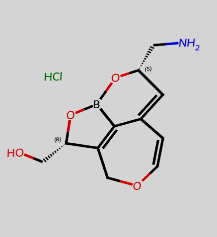 Cl.NC[C@@H]1C=C2C=COCC3=C2B(O[C@H]3CO)O1